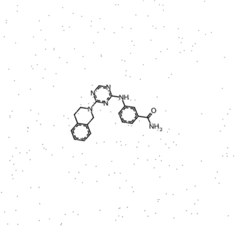 NC(=O)c1cccc(Nc2ncnc(N3CCc4ccccc4C3)n2)c1